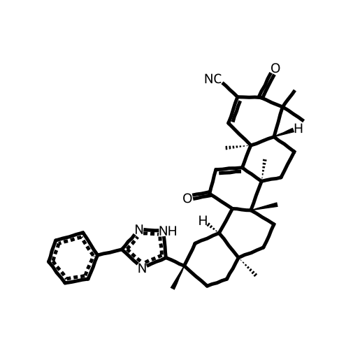 CC1(C)C(=O)C(C#N)=C[C@]2(C)C3=CC(=O)C4[C@@H]5C[C@@](C)(c6nc(-c7ccccc7)n[nH]6)CC[C@]5(C)CC[C@@]4(C)[C@]3(C)CC[C@@H]12